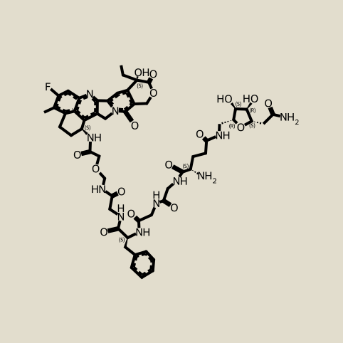 CC[C@@]1(O)C(=O)OCc2c1cc1n(c2=O)Cc2c-1nc1cc(F)c(C)c3c1c2[C@@H](NC(=O)COCNC(=O)CNC(=O)[C@H](Cc1ccccc1)NC(=O)CNC(=O)CNC(=O)[C@@H](N)CCC(=O)NC[C@H]1O[C@@H](CC(N)=O)[C@H](O)[C@@H]1O)CC3